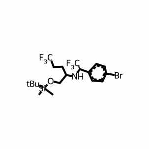 CC(C)(C)[Si](C)(C)OCC(CCC(F)(F)F)N[C@@H](c1ccc(Br)cc1)C(F)(F)F